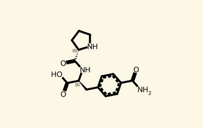 NC(=O)c1ccc(C[C@H](NC(=O)[C@@H]2CCCN2)C(=O)O)cc1